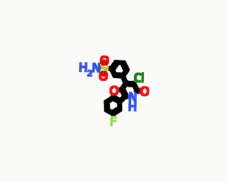 NS(=O)(=O)c1cccc(-c2c(Cl)c(=O)[nH]c3c2oc2ccc(F)cc23)c1